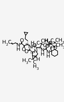 C=CCNC(=O)C(=O)[C@H](CCC1CC1)NC(=O)[C@@H]1C2[C@H](CN1C(=O)[C@@H](NC(=O)NC1(CS(=O)(=O)C(C)(C)C)CCCCC1)C(C)(C)C)C2(C)C